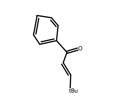 CC(C)(C)C=CC(=O)c1cc[c]cc1